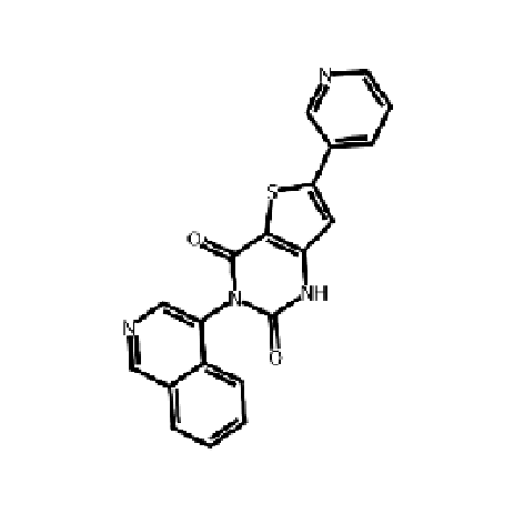 O=c1[nH]c2cc(-c3cccnc3)sc2c(=O)n1-c1cncc2ccccc12